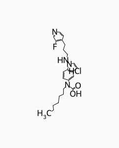 CCCCCCCN(C(=O)O)c1ccc2c(ccn2NCCCc2ccncc2F)c1.Cl